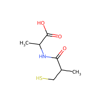 CC(CS)C(=O)NC(C)C(=O)O